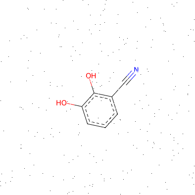 N#Cc1cccc(O)c1O